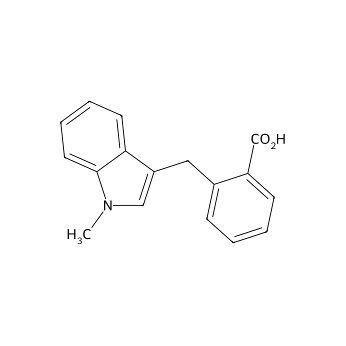 Cn1cc(Cc2ccccc2C(=O)O)c2ccccc21